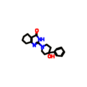 O=c1[nH]c(N2CCC(O)(c3ccccc3)CC2)nc2c1CCCC2